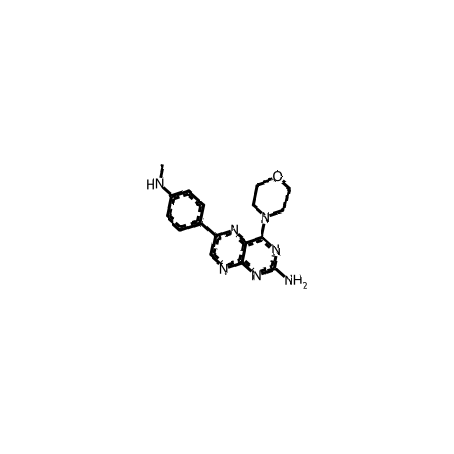 CNc1ccc(-c2cnc3nc(N)nc(N4CCOCC4)c3n2)cc1